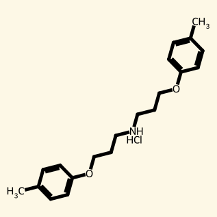 Cc1ccc(OCCCNCCCOc2ccc(C)cc2)cc1.Cl